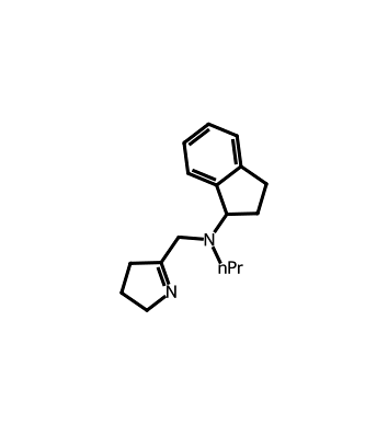 CCCN(CC1=NCCC1)C1CCc2ccccc21